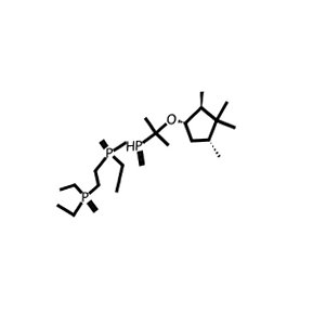 C=[PH](CP(=C)(CC)CCP(=C)(CC)CC)C(C)(C)O[C@H]1C[C@@H](C)C(C)(C)[C@@H]1C